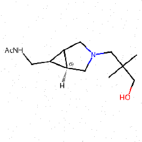 CC(=O)NCC1C2CN(CC(C)(C)CO)C[C@@H]12